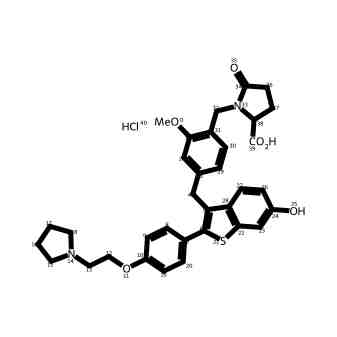 COc1cc(Cc2c(-c3ccc(OCCN4CCCC4)cc3)sc3cc(O)ccc23)ccc1CN1C(=O)CCC1C(=O)O.Cl